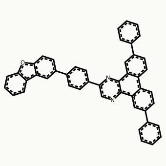 c1ccc(-c2ccc3c4ccc(-c5ccccc5)cc4c4nc(-c5ccc(-c6ccc7oc8ccccc8c7c6)cc5)cnc4c3c2)cc1